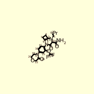 CC(C)CN(C1CCC1)[C@@H](C(N)=O)C(=O)Nc1ccc(N2CCOCC2=O)cc1OC(F)F